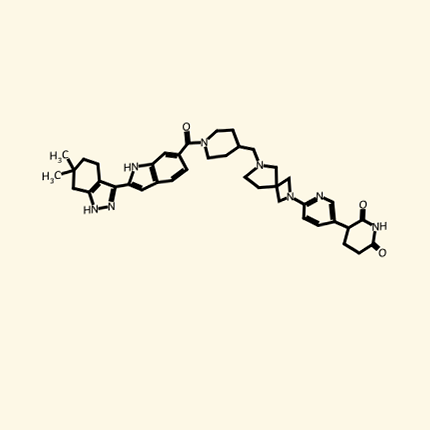 CC1(C)CCc2c(-c3cc4ccc(C(=O)N5CCC(CN6CCC7(C6)CN(c6ccc(C8CCC(=O)NC8=O)cn6)C7)CC5)cc4[nH]3)n[nH]c2C1